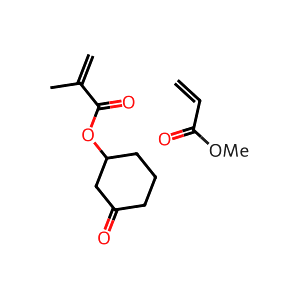 C=C(C)C(=O)OC1CCCC(=O)C1.C=CC(=O)OC